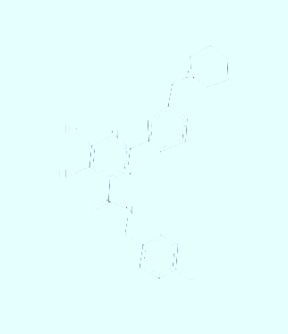 O=C(NCc1ccc(F)cc1)c1nc(-c2cccc(CN3CCCCC3)c2)nc(O)c1O